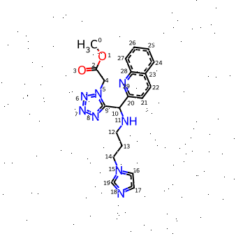 COC(=O)Cn1nnnc1C(NCCCn1ccnc1)c1ccc2ccccc2n1